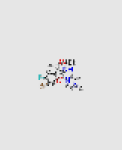 CCC(=O)N[C@H](C(=O)N1CCN(C)CC1)C1(c2ccc(Br)c(F)c2)CC1